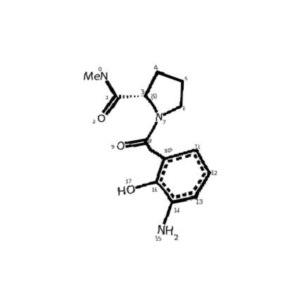 CNC(=O)[C@@H]1CCCN1C(=O)c1cccc(N)c1O